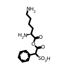 NCCCC[C@H](N)C(=O)OC(=O)C(c1ccccc1)S(=O)(=O)O